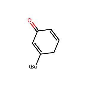 CC(C)(C)C1=CC(=O)C=CC1